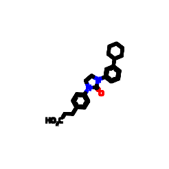 O=C(O)CCc1ccc(N2CCN(c3cccc(C4CCCCC4)c3)C2=O)cc1